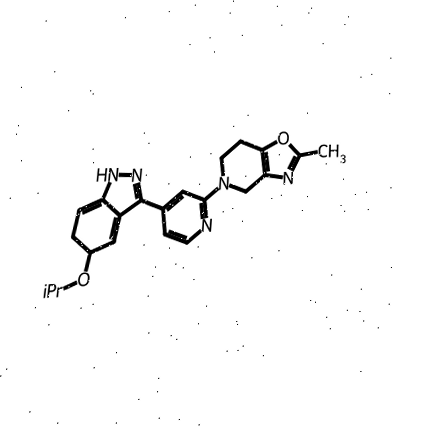 Cc1nc2c(o1)CCN(c1cc(-c3n[nH]c4c3=CC(OC(C)C)CC=4)ccn1)C2